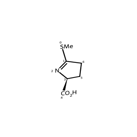 CSC1=N[C@H](C(=O)O)CC1